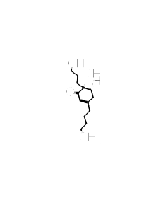 CCCCCC1=CC(=O)C(O)(CCCC)C(O)C1